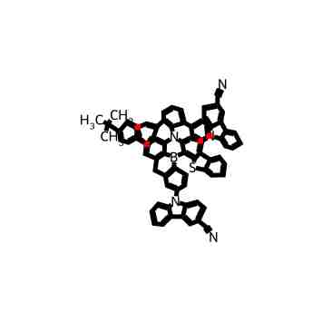 CC(C)(C)c1ccc(-c2cc3c4c(c2)N(c2c(-c5ccccc5)cccc2-c2ccccc2)c2cc(-n5c6ccccc6c6cc(C#N)ccc65)c5c(sc6ccccc65)c2B4c2ccc(-n4c5ccccc5c5cc(C#N)ccc54)cc2C3)cc1